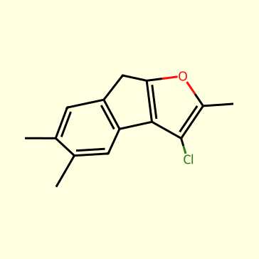 Cc1cc2c(cc1C)-c1c(oc(C)c1Cl)C2